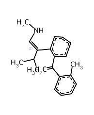 C=C(c1ccccc1C)c1ccccc1/C(=C\NC)C(C)C